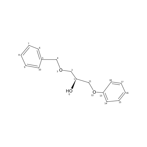 O[C@@H](COCc1ccccc1)COc1ccccc1